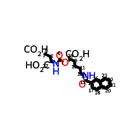 O=C(O)CC[C@H](NC(=O)O[C@@H](CCCCNC(=O)c1ccc2ccccc2c1)C(=O)O)C(=O)O